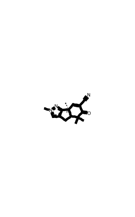 Cn1cc2c(n1)[C@@]1(C)C=C(C#N)C(=O)C(C)(C)C1C2